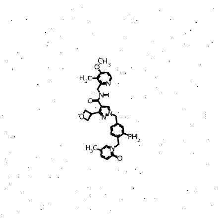 COc1ccnc(CN(I)C(=O)c2cn(Cc3ccc(Cn4cc(C)ccc4=O)c(P)c3)nc2C2COC2)c1C